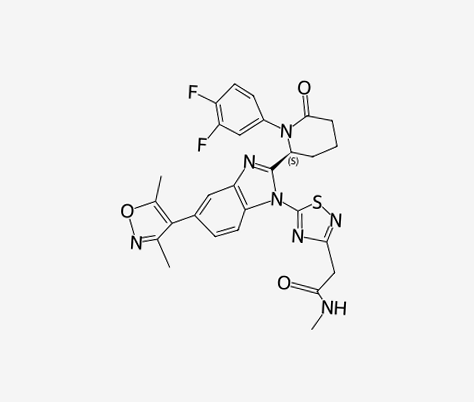 CNC(=O)Cc1nsc(-n2c([C@@H]3CCCC(=O)N3c3ccc(F)c(F)c3)nc3cc(-c4c(C)noc4C)ccc32)n1